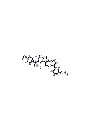 CN/C(=C\C=C(/N)N1CCN(C)CC1)c1ccn2c(-c3cccc(N)c3)cnc2c1